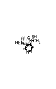 B.CN(C)c1ccncc1.F.F.F